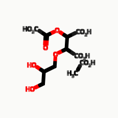 CC(=O)O.O=C(O)C(=O)OC(C(=O)O)C(OCC(O)CO)C(=O)O